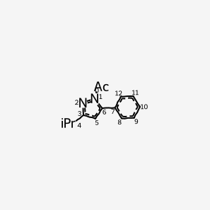 CC(=O)n1nc(C(C)C)cc1-c1ccccc1